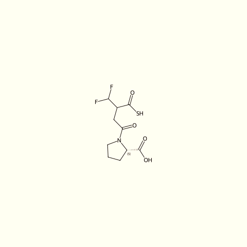 O=C(S)C(CC(=O)N1CCC[C@H]1C(=O)O)C(F)F